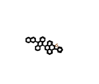 c1ccc2cc(-c3c4ccccc4c(-c4cc5cccc6c7c8ccccc8sc7c7cccc4c7c56)c4ccccc34)ccc2c1